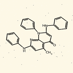 Cc1cc(Nc2ccccc2)nc2c1c(=O)cc(Nc1ccccc1)n2-c1ccccc1